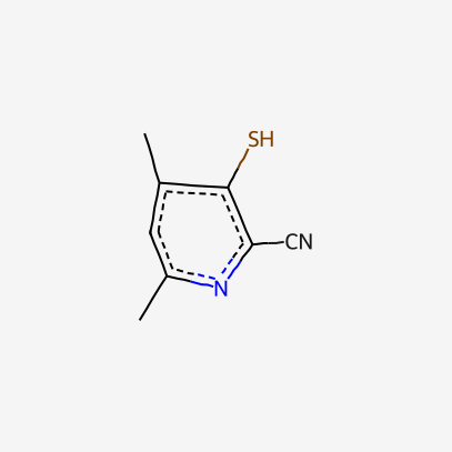 Cc1cc(C)c(S)c(C#N)n1